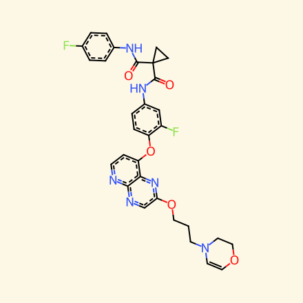 O=C(Nc1ccc(F)cc1)C1(C(=O)Nc2ccc(Oc3ccnc4ncc(OCCCN5C=COCC5)nc34)c(F)c2)CC1